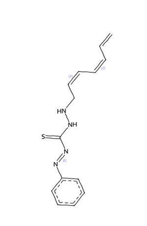 C=C/C=C\C=C/CNNC(=S)/N=N/c1ccccc1